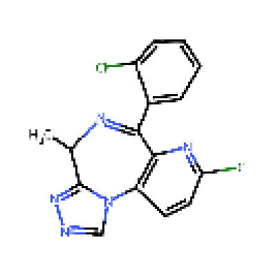 CC1N=C(c2ccccc2Cl)c2nc(Cl)ccc2-n2cnnc21